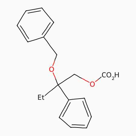 CCC(COC(=O)O)(OCc1ccccc1)c1ccccc1